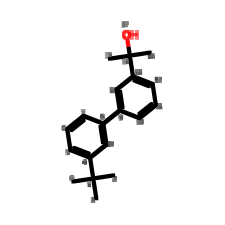 CC(C)(C)c1cccc(-c2cccc(C(C)(C)O)c2)c1